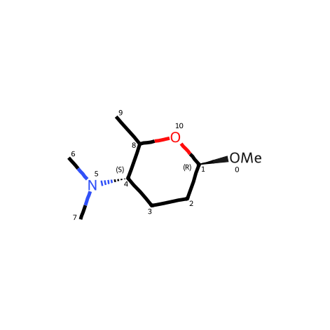 CO[C@H]1CC[C@H](N(C)C)C(C)O1